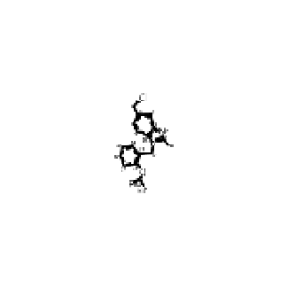 Cc1nc2cc(CCl)ccc2n1Cc1ccccc1OC(F)F